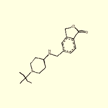 CC(C)(C)N1CCC(NCc2ccc3c(c2)COC3=O)CC1